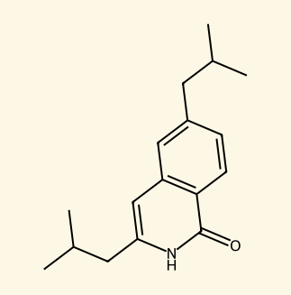 CC(C)Cc1ccc2c(=O)[nH]c(CC(C)C)cc2c1